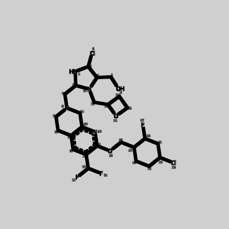 OCC1C(Cl)NC(CN2CCc3cc(C(F)F)c(OCC4CCC(Cl)CC4F)nc3C2)N1CC1CCO1